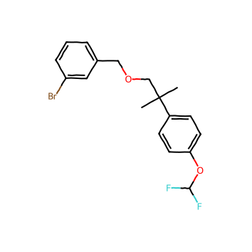 CC(C)(COCc1cccc(Br)c1)c1ccc(OC(F)F)cc1